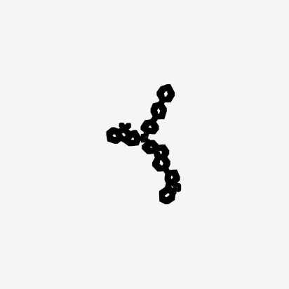 CC1(C)c2ccccc2-c2ccc(N(c3ccc(-c4ccc(-c5ccccc5)cc4)cc3)c3ccc4c(ccc5cc(-c6ccc7oc8ccccc8c7c6)ccc54)c3)cc21